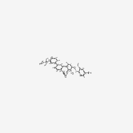 Cc1cc(OCc2ncc(F)cc2F)c(Cl)c(=O)n1-c1cc(-c2ccnc(C(C)(C)O)n2)ncc1C#N